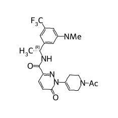 CNc1cc([C@@H](C)NC(=O)c2ccc(=O)n(C3=CCN(C(C)=O)CC3)n2)cc(C(F)(F)F)c1